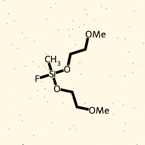 COCCO[Si](C)(F)OCCOC